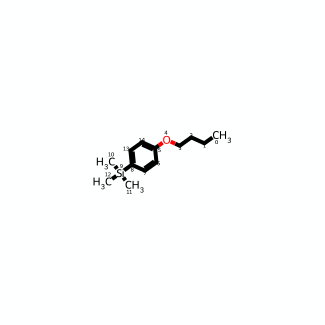 CCCCOc1ccc([Si](C)(C)C)cc1